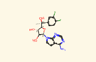 C[C@](O)(c1ccc(F)c(F)c1)[C@H]1O[C@@H](n2ccc3c(N)ncnc32)C(O)[C@@H]1O